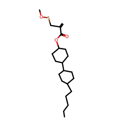 C=C(CSOC)C(=O)OC1CCC(C2CCC(CCCCC)CC2)CC1